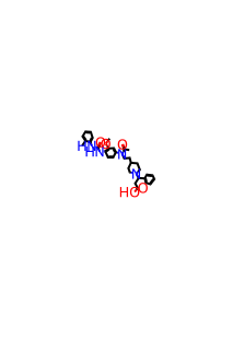 COc1cc(N(CCC2CCN(C(CC(=O)O)c3ccccc3)CC2)C(C)=O)ccc1NC(=O)Nc1ccccc1C